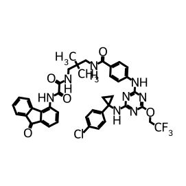 CC(C)(CNC(=O)C(=O)Nc1cccc2c1-c1ccccc1C2=O)CNC(=O)c1ccc(Nc2nc(NC3(c4ccc(Cl)cc4)CC3)nc(OCC(F)(F)F)n2)cc1